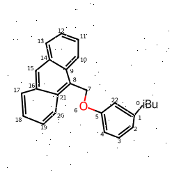 CCC(C)c1cccc(OCc2c3ccccc3cc3ccccc23)c1